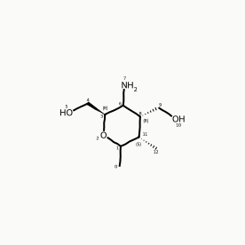 CC1O[C@@H](CO)C(N)[C@H](CO)[C@@H]1C